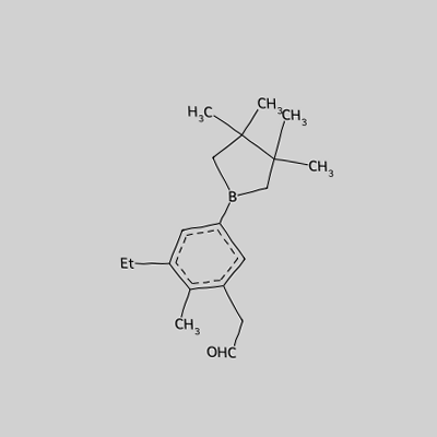 CCc1cc(B2CC(C)(C)C(C)(C)C2)cc(CC=O)c1C